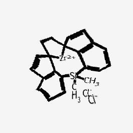 C[Si]1(C)c2cccc3c2[C]2(C=C3)CC[C]3(C=Cc4cccc1c43)[Zr+2]2.[Cl-].[Cl-]